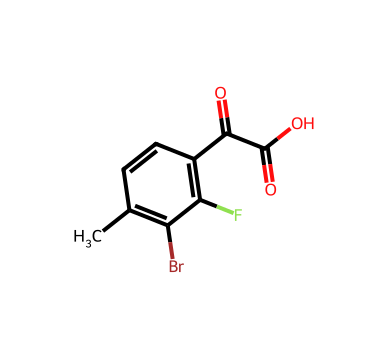 Cc1ccc(C(=O)C(=O)O)c(F)c1Br